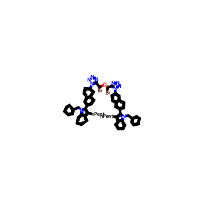 CCCCCc1c(-c2ccc3cc(-n4nnnc4C(Br)OC(Br)c4nnnn4-c4ccc5cc(-c6c(CCCCC)c7ccccc7n6Cc6ccccc6)ccc5c4)ccc3c2)n(Cc2ccccc2)c2ccccc12